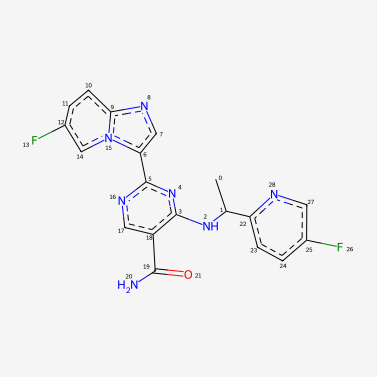 CC(Nc1nc(-c2cnc3ccc(F)cn23)ncc1C(N)=O)c1ccc(F)cn1